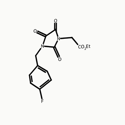 CCOC(=O)CN1C(=O)C(=O)N(Cc2ccc(F)cc2)C1=O